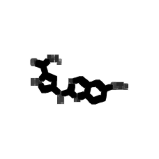 COc1ccc2nc(Nc3c[nH]c(C(N)=O)c3)ncc2c1